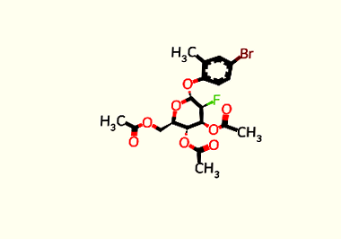 CC(=O)OC[C@H]1O[C@H](Oc2ccc(Br)cc2C)[C@@H](F)[C@@H](OC(C)=O)[C@@H]1OC(C)=O